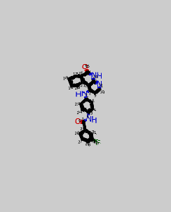 O=C(Nc1ccc(Nc2ccnc3[nH]c(=O)c4ccccc4c23)cc1)c1cccc(F)c1